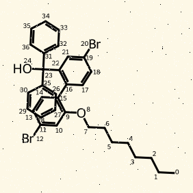 CCCCCCCCOc1cc(Br)ccc1-c1ccc(Br)cc1C(O)(c1ccccc1)c1ccccc1